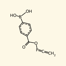 C=C=POC(=O)c1ccc(B(O)O)cc1